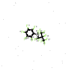 Fc1c(F)c(F)[c]([Al]([F])[C](F)(F)C(F)(C(F)(F)F)C(F)(F)F)c(F)c1F